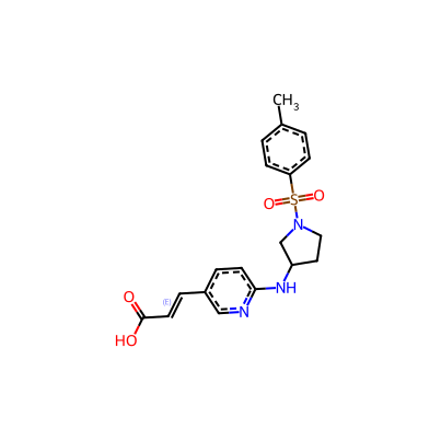 Cc1ccc(S(=O)(=O)N2CCC(Nc3ccc(/C=C/C(=O)O)cn3)C2)cc1